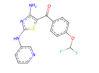 Nc1nc(Nc2cccnc2)sc1C(=O)c1ccc(OC(F)F)cc1